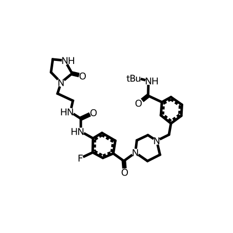 CC(C)(C)NC(=O)c1cccc(CN2CCN(C(=O)c3ccc(NC(=O)NCCN4CCNC4=O)c(F)c3)CC2)c1